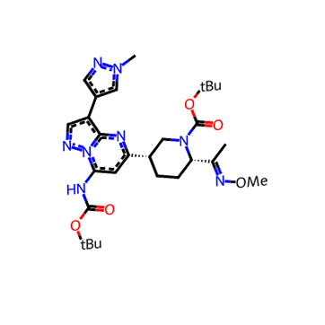 CO/N=C(\C)[C@@H]1CC[C@H](c2cc(NC(=O)OC(C)(C)C)n3ncc(-c4cnn(C)c4)c3n2)CN1C(=O)OC(C)(C)C